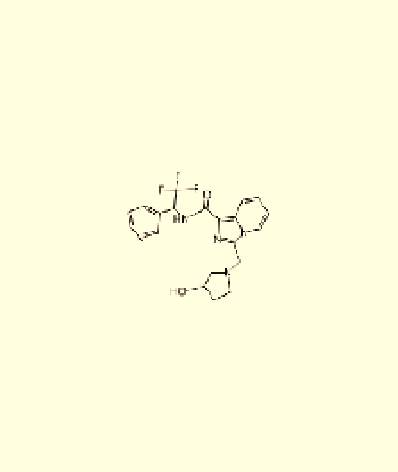 O=C(NC(c1cccnc1)C(F)(F)F)c1nc(CN2CCC(O)C2)n2ccccc12